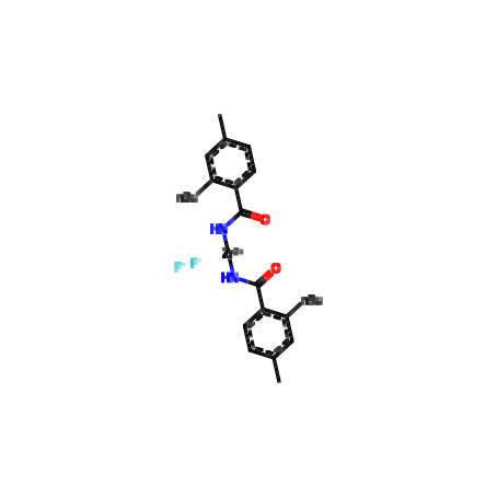 CCCCc1cc(C)ccc1C(=O)[NH][Zr+2][NH]C(=O)c1ccc(C)cc1CCCC.[F-].[F-]